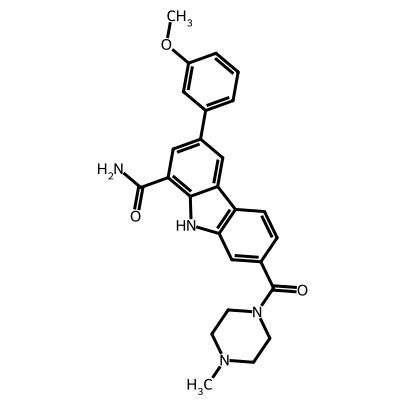 COc1cccc(-c2cc(C(N)=O)c3[nH]c4cc(C(=O)N5CCN(C)CC5)ccc4c3c2)c1